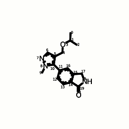 CC(C)OCc1cnn(C)c1-c1ccc2c(c1)CNC2=O